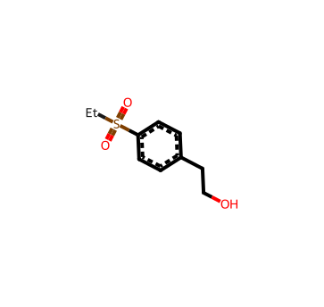 CCS(=O)(=O)c1ccc(CCO)cc1